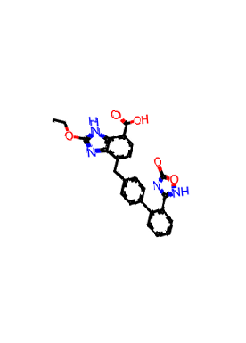 CCOc1nc2c(Cc3ccc(-c4ccccc4-c4nc(=O)o[nH]4)cc3)ccc(C(=O)O)c2[nH]1